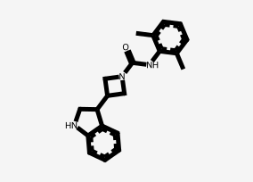 Cc1cccc(C)c1NC(=O)N1CC(C2CNc3ccccc32)C1